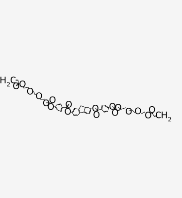 C=CC(=O)OCCOCCOCCOC(=O)Oc1ccc(C(=O)Oc2ccc3c(c2)Cc2cc(OC(=O)c4ccc(OC(=O)OCCOCCOCCOC(=O)C=C)cc4)ccc2-3)cc1